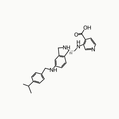 CC(C)c1ccc(CNc2ccc3c(c2)CN[C@@H]3CNc2cnccc2C(=O)O)cc1